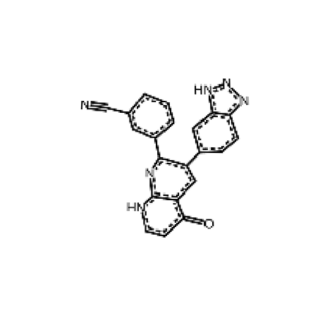 N#Cc1cccc(-c2nc3[nH]ccc(=O)c3cc2-c2ccc3nn[nH]c3c2)c1